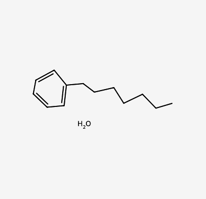 CCCCCCCc1ccccc1.O